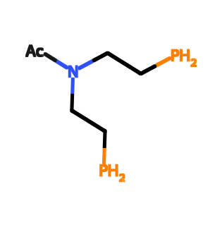 CC(=O)N(CCP)CCP